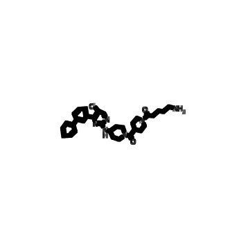 NCCCCC(=O)N1CCC(C(=O)N2CCC(Nc3ncc(Cl)c(-c4cccc(-c5ccccc5)c4)n3)CC2)CC1